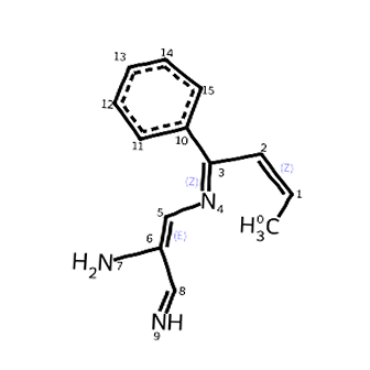 C\C=C/C(=N/C=C(/N)C=N)c1ccccc1